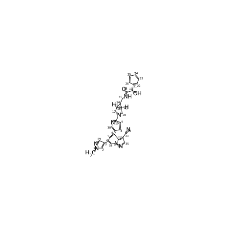 Cn1cc(-c2cc(-c3ccc(N4C[C@@H]5C(CNC(=O)C(O)c6ccccc6)[C@@H]5C4)nc3)c3c(C#N)cnn3c2)cn1